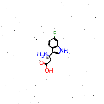 N[C@@H](CC(=O)O)c1c[nH]c2cc(F)ccc12